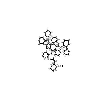 O=C(C[C@H](c1ccccc1)c1cc(NC(c2ccccc2)(c2ccccc2)c2ccccc2)nc2c1nnn2C(c1ccccc1)(c1ccccc1)c1ccccc1)Nc1ccccc1O